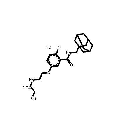 C[C@@H](CO)NCCOc1ccc(Cl)c(C(=O)NCC23CC4CC(CC(C4)C2)C3)c1.Cl